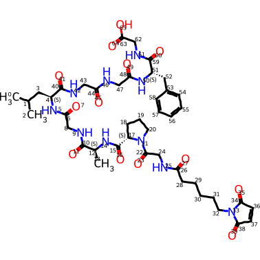 CC(C)C[C@H](NC(=O)CNC(=O)[C@H](C)NC(=O)[C@@H]1CCCN1C(=O)CNC(=O)CCCCCN1C(=O)C=CC1=O)C(=O)NCC(=O)NCC(=O)N[C@@H](Cc1ccccc1)C(=O)NCC(=O)O